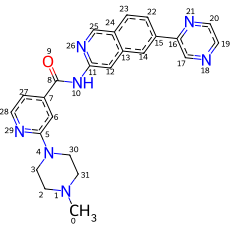 CN1CCN(c2cc(C(=O)Nc3cc4cc(-c5cnccn5)ccc4cn3)ccn2)CC1